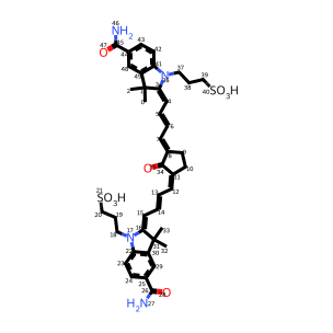 CC1(C)C(=CC=CC=C2CCC(=CC=CC=C3N(CCCS(=O)(=O)O)c4ccc(C(N)=O)cc4C3(C)C)C2=O)N(CCCS(=O)(=O)O)c2ccc(C(N)=O)cc21